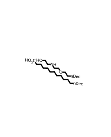 CCCCCCCCCCCCCCCCCCCCCC(=O)O.CCCCCCCCCCCCOCCNCCO